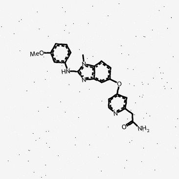 COc1cccc(Nc2nc3cc(Oc4ccnc(CC(N)=O)c4)ccc3n2C)c1